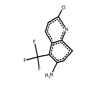 Nc1ccc2nc(Cl)ccc2c1C(F)(F)F